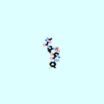 Cc1nnc(C(=O)N2CC3NS(=O)(=O)c4cn(C)c(C(=O)Nc5ccc(F)c(C)c5)c4OCC3(C)C2)o1